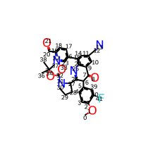 COc1ccc(C2C(=O)c3cc(C#N)cc(-c4ccc(C=O)nc4)c3N=C2C2CCCN2C(=O)OC(C)(C)C)cc1F